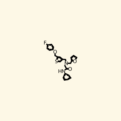 O=C(CN(Cc1csc(COc2ccc(F)cc2)c1)Cc1ccco1)Nc1ccccc1